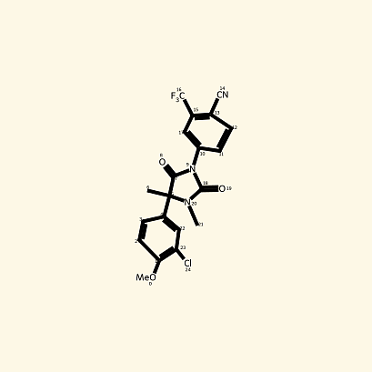 COc1ccc(C2(C)C(=O)N(c3ccc(C#N)c(C(F)(F)F)c3)C(=O)N2C)cc1Cl